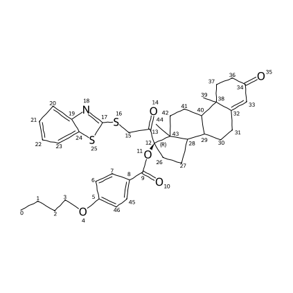 CCCCOc1ccc(C(=O)O[C@]2(C(=O)CSc3nc4ccccc4s3)CCC3C4CCC5=CC(=O)CCC5(C)C4CCC32C)cc1